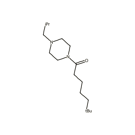 CC(C)CN1CCN(C(=O)CCCCC(C)(C)C)CC1